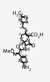 CO/N=C(\C(=O)N[C@@H]1C(=O)N2C(C(=O)O)=C(SCc3nc(C)ns3)CS[C@H]12)c1csc(N)n1